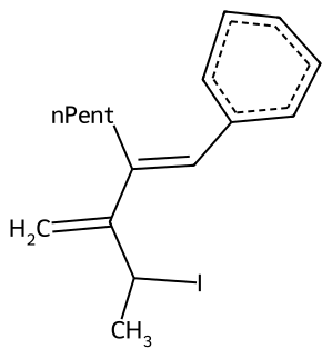 C=C(/C(=C/c1ccccc1)CCCCC)C(C)I